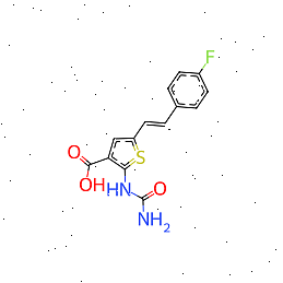 NC(=O)Nc1sc(C=Cc2ccc(F)cc2)cc1C(=O)O